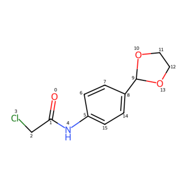 O=C(CCl)Nc1ccc(C2OCCO2)cc1